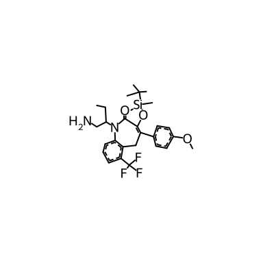 CCC(CN)N1C(=O)C(O[Si](C)(C)C(C)(C)C)=C(c2ccc(OC)cc2)Cc2c1cccc2C(F)(F)F